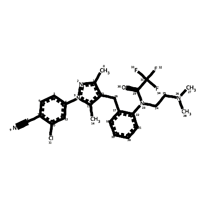 Cc1nn(-c2ccc(C#N)c(Cl)c2)c(C)c1Cc1ccccc1N(CCN(C)C)C(=O)C(F)(F)F